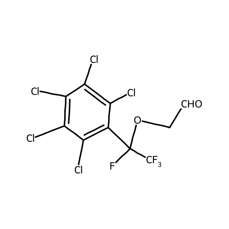 O=CCOC(F)(c1c(Cl)c(Cl)c(Cl)c(Cl)c1Cl)C(F)(F)F